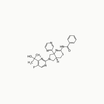 CC(C)(O)c1nc(N2C[C@H]3CSC(NC(=O)c4ccccc4)=NC3(c3cnccn3)C2)ncc1F